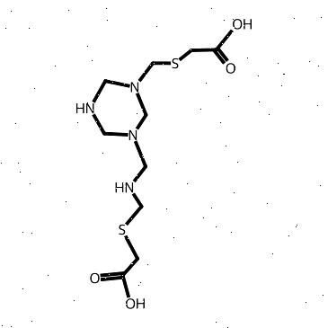 O=C(O)CSCNCN1CNCN(CSCC(=O)O)C1